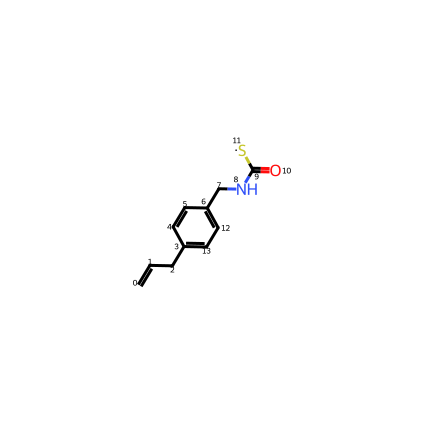 C=CCc1ccc(CNC(=O)[S])cc1